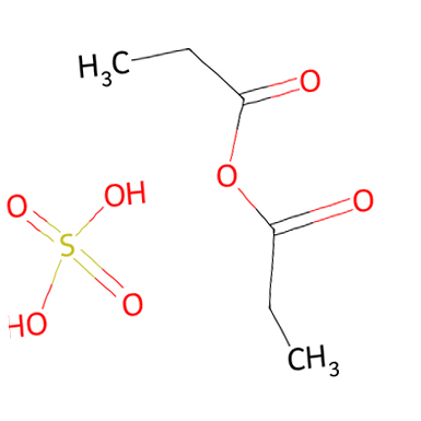 CCC(=O)OC(=O)CC.O=S(=O)(O)O